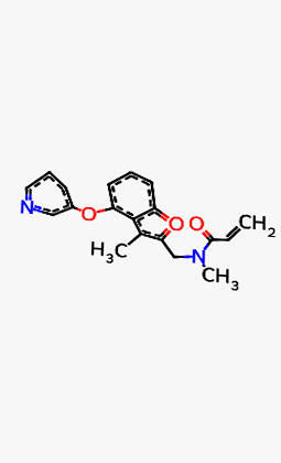 C=CC(=O)N(C)Cc1oc2cccc(Oc3cccnc3)c2c1C